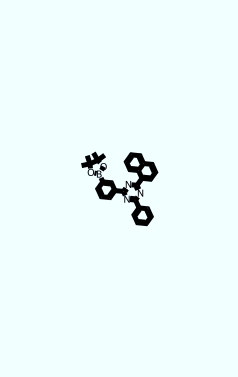 CC1(C)OB(c2cccc(-c3nc(-c4ccccc4)nc(-c4cccc5ccccc45)n3)c2)OC1(C)C